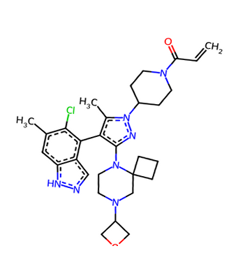 C=CC(=O)N1CCC(n2nc(N3CCN(C4COC4)CC34CCC4)c(-c3c(Cl)c(C)cc4[nH]ncc34)c2C)CC1